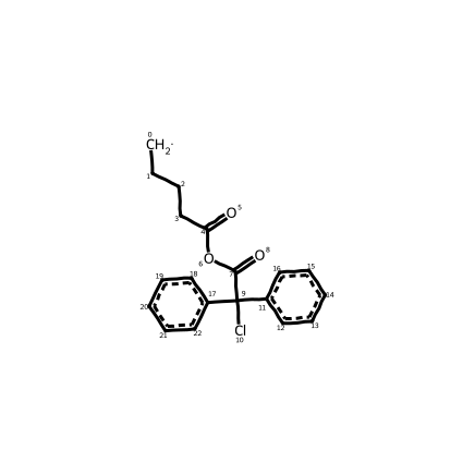 [CH2]CCCC(=O)OC(=O)C(Cl)(c1ccccc1)c1ccccc1